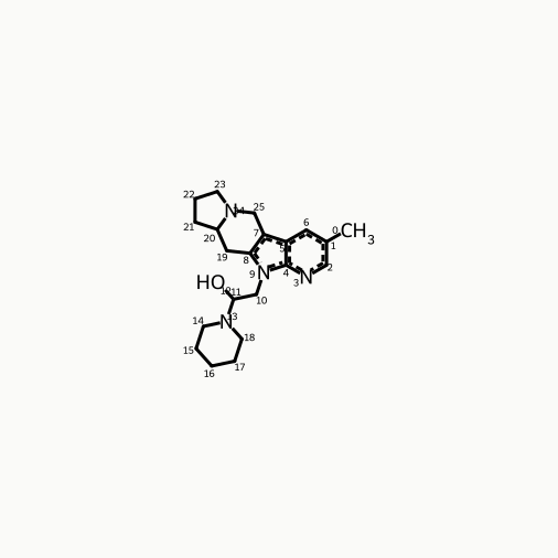 Cc1cnc2c(c1)c1c(n2CC(O)N2CCCCC2)CC2CCCN2C1